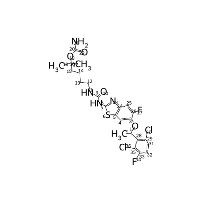 CC(Oc1cc2sc(NC(=O)NCCCCC(C)(C)OC(N)=O)nc2cc1F)c1c(Cl)ccc(F)c1Cl